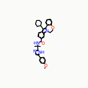 COc1ccc(-c2cnc(C(C)(C)NC(=O)c3ccc4c(C5CCCCC5)c5n(c4c3)CCOc3ccccc3-5)[nH]2)cc1